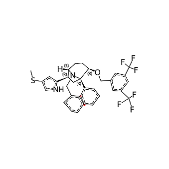 CSc1c[nH]c([C@@H]2C[C@@]3(c4ccccc4)[C@H](OCc4cc(C(F)(F)F)cc(C(F)(F)F)c4)CC[C@@H]2N3Cc2ccccc2)c1